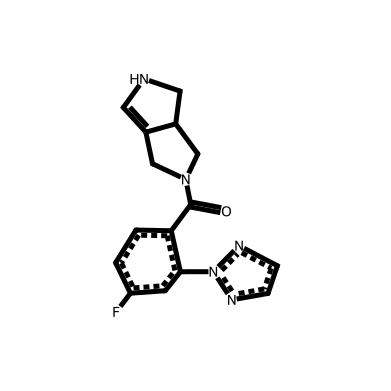 O=C(c1ccc(F)cc1-n1nccn1)N1CC2=CNCC2C1